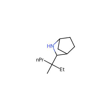 CCCC(C)(CC)C1NC2CCC1C2